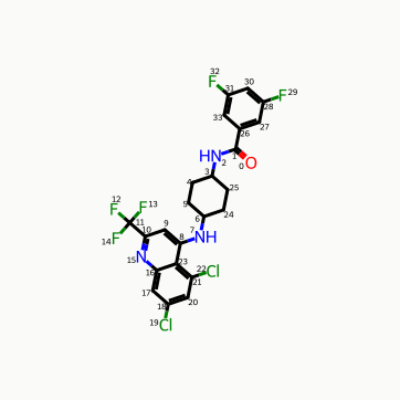 O=C(NC1CCC(Nc2cc(C(F)(F)F)nc3cc(Cl)cc(Cl)c23)CC1)c1cc(F)cc(F)c1